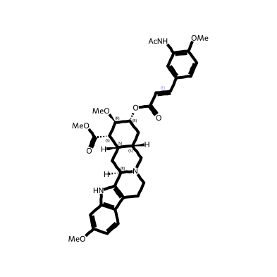 COC(=O)[C@H]1[C@H]2C[C@@H]3c4[nH]c5cc(OC)ccc5c4CCN3C[C@H]2C[C@@H](OC(=O)/C=C/c2ccc(OC)c(NC(C)=O)c2)[C@@H]1OC